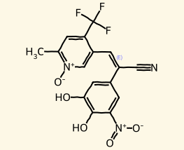 Cc1cc(C(F)(F)F)c(/C=C(/C#N)c2cc(O)c(O)c([N+](=O)[O-])c2)c[n+]1[O-]